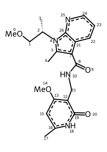 COC[C@H](C)n1c(C)c(C(=O)NCc2c(OC)cc(C)[nH]c2=O)c2cccnc21